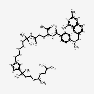 CC(C)CCC(C)OCCC(C)(C)c1cn(CCOCCC(C)(C)NC(=O)CCC(NC(=O)c2ccc(N(C)Cc3cnc4nc(N)nc(N)c4n3)cc2)C(=O)O)nn1